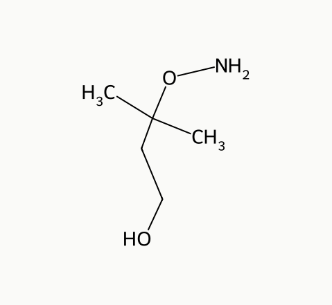 CC(C)(CCO)ON